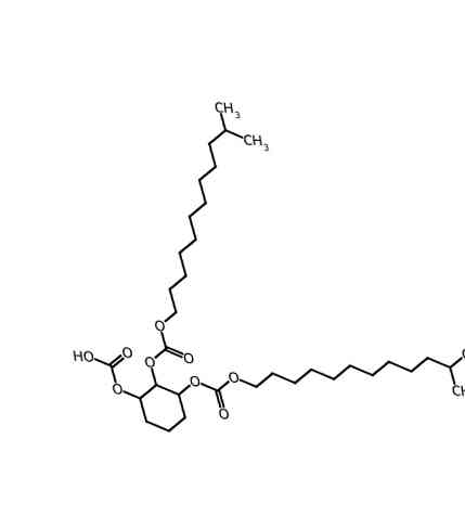 CC(C)CCCCCCCCCCOC(=O)OC1CCCC(OC(=O)O)C1OC(=O)OCCCCCCCCCCC(C)C